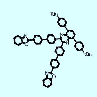 CC(C)(C)c1ccc(-c2ccc(-c3ccc(C(C)(C)C)cc3)c3nc(-c4ccc(-c5ccc(-c6nc7ccccc7o6)cc5)cc4)c(-c4ccc(-c5ccc(-c6nc7ccccc7o6)cc5)cc4)nc23)cc1